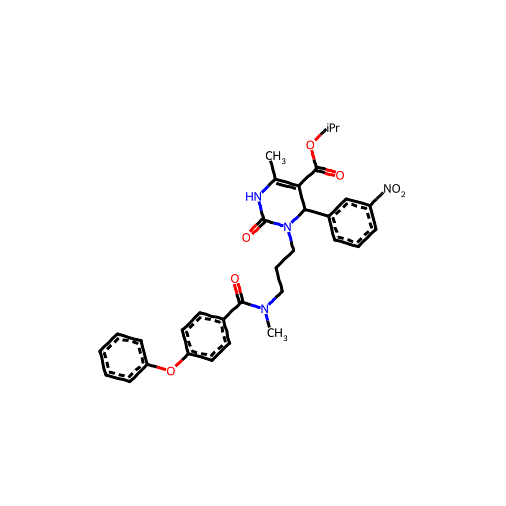 CC1=C(C(=O)OC(C)C)C(c2cccc([N+](=O)[O-])c2)N(CCCN(C)C(=O)c2ccc(Oc3ccccc3)cc2)C(=O)N1